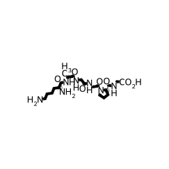 C[C@H](NC(=O)[C@@H](N)CCCCN)C(=O)NCC(=O)NCC(=O)N1CCC[C@H]1C(=O)NCC(=O)O